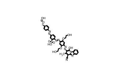 Cc1c(N=Nc2cc(OCCO)c(N=Nc3ccc(N=Nc4ccc(SOOO)cc4)cc3S(=O)(=O)O)cc2OCCO)c(O)n2c(nc3ccccc32)c1C#N